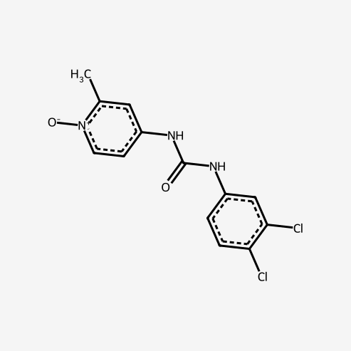 Cc1cc(NC(=O)Nc2ccc(Cl)c(Cl)c2)cc[n+]1[O-]